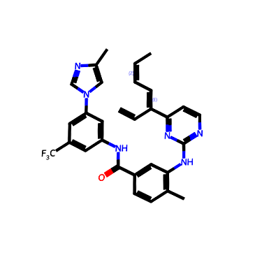 C=C/C(=C\C=C/C)c1ccnc(Nc2cc(C(=O)Nc3cc(-n4cnc(C)c4)cc(C(F)(F)F)c3)ccc2C)n1